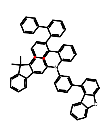 CC1(C)c2ccccc2-c2cc(N(c3cccc(-c4cccc5oc6ccccc6c45)c3)c3ccccc3-c3ccccc3-c3ccccc3-c3ccccc3)ccc21